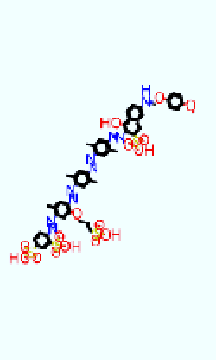 COc1ccc(OCNc2ccc3c(O)c(N=Nc4cc(C)c(N=Nc5cc(C)c(N=Nc6cc(C)c(N=Nc7ccc(S(=O)(=O)O)cc7S(=O)(=O)O)cc6OCCCS(=O)(=O)O)cc5C)cc4C)c(S(=O)(=O)O)cc3c2)cc1